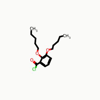 CCCCCOc1cccc(C(=O)Cl)c1OCCCCC